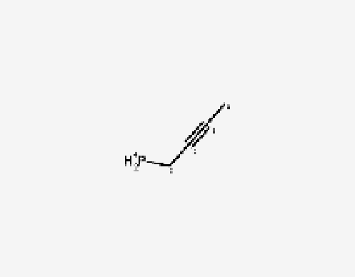 CC#CCP